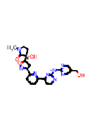 CN1CC[C@@](O)(c2cc(-c3cccc(-c4ccnc(Nc5ncc(CO)cn5)n4)n3)no2)C1=O